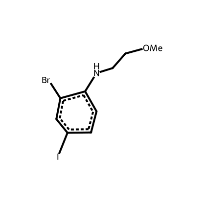 COCCNc1ccc(I)cc1Br